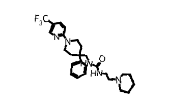 O=C(NCCN1CCCCC1)NCC1(c2ccccc2)CCN(c2ccc(C(F)(F)F)cn2)CC1